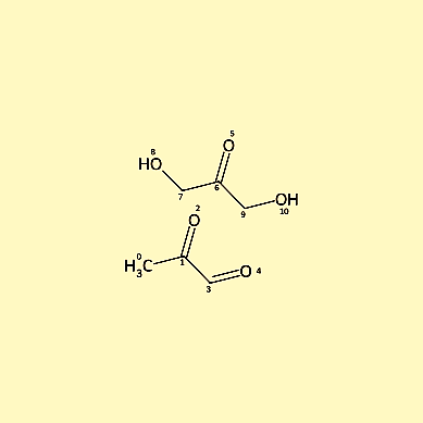 CC(=O)C=O.O=C(CO)CO